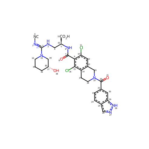 [C-]#[N+]/N=C(\NC[C@H](NC(=O)c1c(Cl)cc2c(c1Cl)CCN(C(=O)c1ccc3cn[nH]c3c1)C2)C(=O)O)N1CCC[C@@H](O)C1